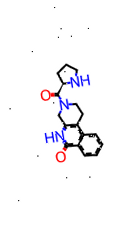 O=C([C@H]1CCCN1)N1CCc2c([nH]c(=O)c3ccccc23)C1